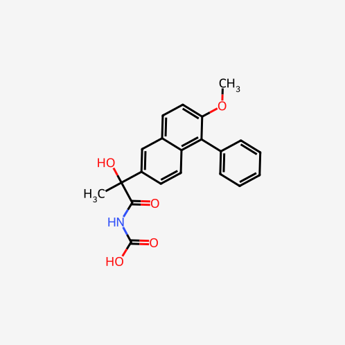 COc1ccc2cc(C(C)(O)C(=O)NC(=O)O)ccc2c1-c1ccccc1